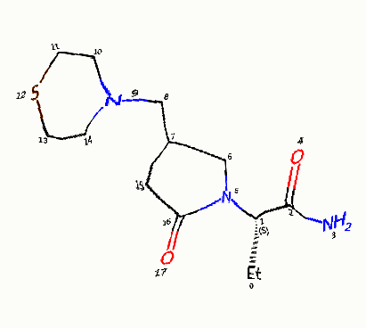 CC[C@@H](C(N)=O)N1CC(CN2CCSCC2)CC1=O